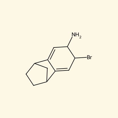 NC1C=C2C(=CC1Br)C1CCC2C1